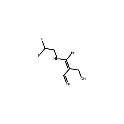 N=C/C(CO)=C(/Br)NCC(F)F